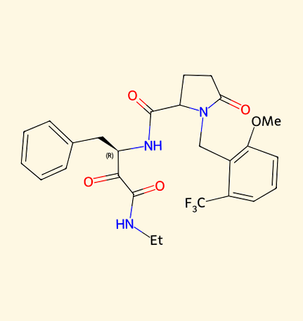 CCNC(=O)C(=O)[C@@H](Cc1ccccc1)NC(=O)C1CCC(=O)N1Cc1c(OC)cccc1C(F)(F)F